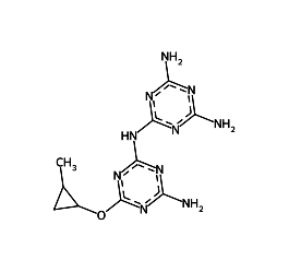 CC1CC1Oc1nc(N)nc(Nc2nc(N)nc(N)n2)n1